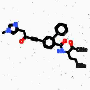 COC(=O)C(CCSC)NC(=O)c1ccc(C#CC(=O)Cc2cn(C)cn2)cc1-c1ccccc1